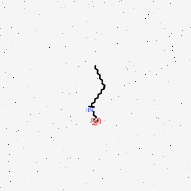 CCCCCCCC/C=C\CCCCCCCC(C)(C)NCCC[Si](OC)(OC)OC